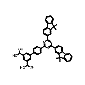 CC1(C)c2ccccc2-c2ccc(-c3nc(-c4ccc(-c5cc(C(O)O)cc(C(O)O)c5)cc4)nc(-c4ccc5c(c4)C(C)(C)c4ccccc4-5)n3)cc21